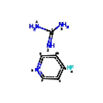 F.N=C(N)N.c1ccncc1